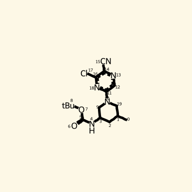 CC1CC(NC(=O)OC(C)(C)C)CN(c2cnc(C#N)c(Cl)n2)C1